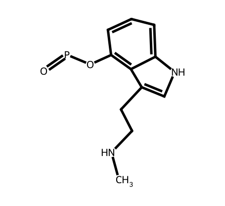 CNCCc1c[nH]c2cccc(OP=O)c12